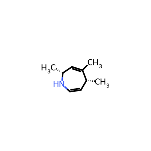 CC1=C[C@@H](C)NC=C[C@H]1C